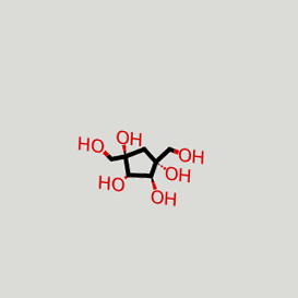 OC[C@]1(O)C[C@@](O)(CO)[C@@H](O)[C@@H]1O